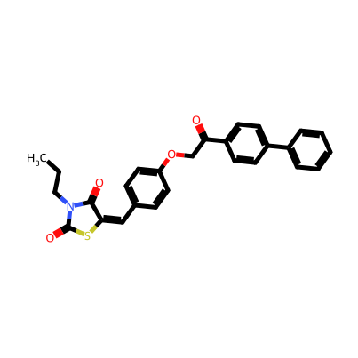 CCCN1C(=O)SC(=Cc2ccc(OCC(=O)c3ccc(-c4ccccc4)cc3)cc2)C1=O